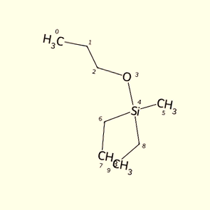 CCCO[Si](C)(CC)CC